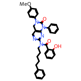 COc1ccc(N2Cc3cnc(N(CCCCCc4ccccc4)C(=O)c4ccccc4O)nc3N(c3ccccc3)C2=O)cc1